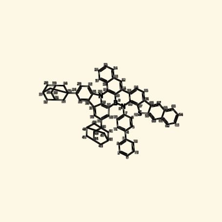 c1ccc(-c2ccc(N3B4c5c(cc6ccccc6c5-n5c6ccc(C78CC9CC(CC(C9)C7)C8)cc6c6cc(C78CC9CC(CC(C9)C7)C8)cc4c65)-c4ccc5c(sc6cc7ccccc7cc65)c43)cc2)cc1